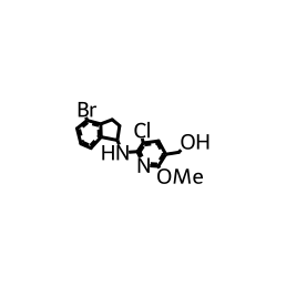 COc1nc(NC2CCc3c(Br)cccc32)c(Cl)cc1CO